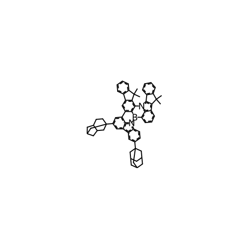 CC1(C)c2ccccc2-c2cc3c4c(c21)-n1c2c(c5cccc(c51)B4n1c4ccc(C56CC7CC(CC(C7)C5)C6)cc4c4cc(C56CCC7CC(CC7C5)C6)cc-3c41)C(C)(C)c1ccccc1-2